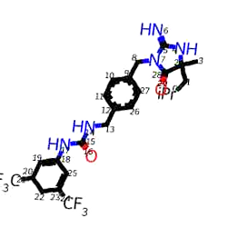 CC(C)CC1(C)NC(=N)N(Cc2ccc(CNC(=O)NC3=CC(C(F)(F)F)CC(C(F)(F)F)=C3)cc2)C1=O